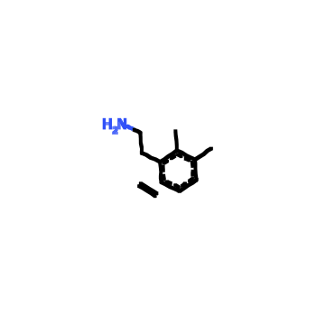 C=C.Cc1cccc(CCN)c1C